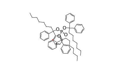 CCCCCCCC(OP(=O)(OC(CCCCCCC)(c1ccccc1)c1ccccc1)OC(CCCCCCC)(c1ccccc1)c1ccccc1)(c1ccccc1)c1ccccc1